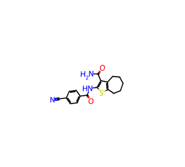 N#Cc1ccc(C(=O)Nc2sc3c(c2C(N)=O)CCCCC3)cc1